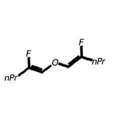 CCCC(F)=COC=C(F)CCC